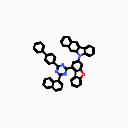 c1ccc(-c2ccc(-c3nc(-c4cccc5ccccc45)nc(-c4cc(-n5c6ccccc6c6cc7ccccc7cc65)cc5oc6ccccc6c45)n3)cc2)cc1